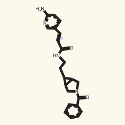 Nc1ccc(/C=C/C(=O)NCCC2C3CN(C(=O)c4ccccc4)CC23)cn1